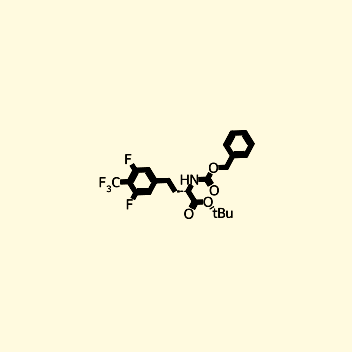 CC(C)(C)OC(=O)[C@H](CCc1cc(F)c(C(F)(F)F)c(F)c1)NC(=O)OCc1ccccc1